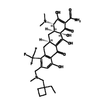 CCC1(CN(C)Cc2cc(O)c3c(c2C(F)(F)F)C[C@H]2C[C@H]4[C@H](N(C)C)C(O)=C(C(N)=O)C(=O)[C@@]4(O)C(O)=C2C3=O)CCC1